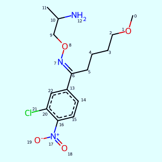 COCCCCC(=NOCC(C)N)c1ccc([N+](=O)[O-])c(Cl)c1